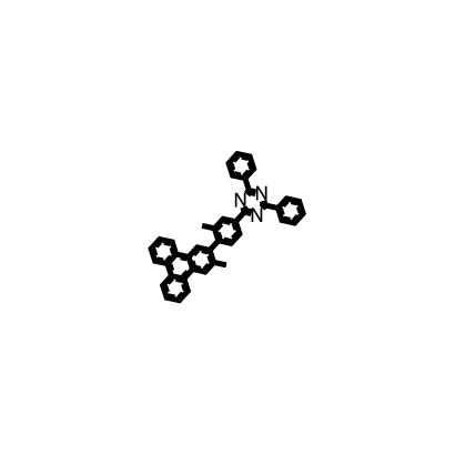 Cc1cc(-c2nc(-c3ccccc3)nc(-c3ccccc3)n2)ccc1-c1cc2c3ccccc3c3ccccc3c2cc1C